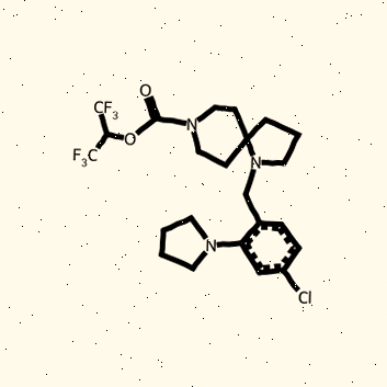 O=C(OC(C(F)(F)F)C(F)(F)F)N1CCC2(CCCN2Cc2ccc(Cl)cc2N2CCCC2)CC1